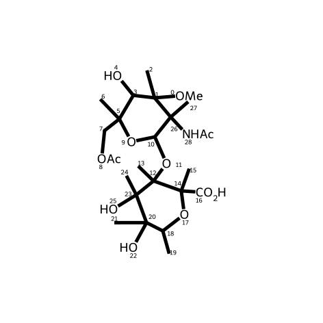 COC1(C)C(O)C(C)(COC(C)=O)OC(OC2(C)C(C)(C(=O)O)OC(C)C(C)(O)C2(C)O)C1(C)NC(C)=O